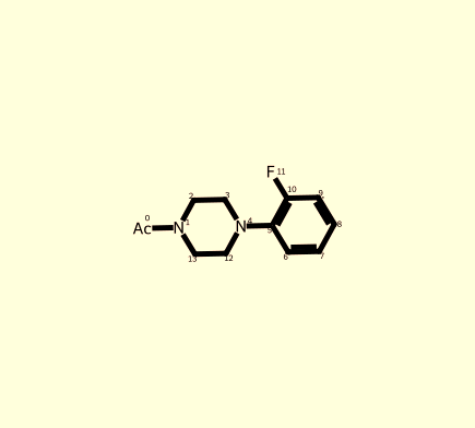 CC(=O)N1CCN(c2ccc[c]c2F)CC1